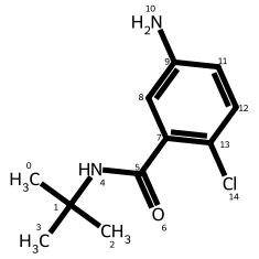 CC(C)(C)NC(=O)c1cc(N)ccc1Cl